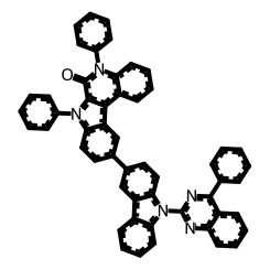 O=c1c2c(c3ccccc3n1-c1ccccc1)c1cc(-c3ccc4c(c3)c3ccccc3n4-c3nc(-c4ccccc4)c4ccccc4n3)ccc1n2-c1ccccc1